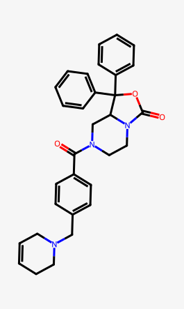 O=C(c1ccc(CN2CC=CCC2)cc1)N1CCN2C(=O)OC(c3ccccc3)(c3ccccc3)C2C1